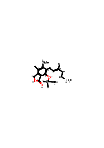 COc1c(C)c2c(c(O[Si](C)(C)C(C)(C)C)c1C/C=C(\C)CCC(=O)O)C(=O)OC2